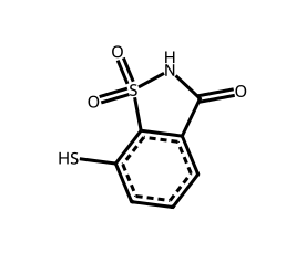 O=C1NS(=O)(=O)c2c(S)cccc21